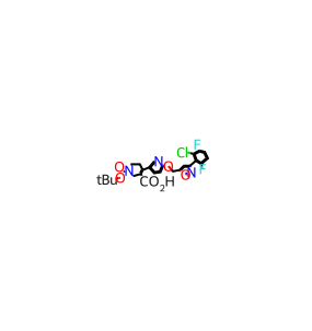 CC(C)(C)OC(=O)N1CCC(c2ccc(OCc3cc(-c4c(F)ccc(F)c4Cl)no3)nc2)=C(C(=O)O)C1